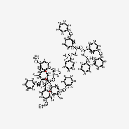 CCOc1ccc([SiH2]C(C)(OC(C)([SiH2]c2ccc(OCC)cc2)c2cc(C)c(C)c(Oc3ccccc3)n2)c2cc(C)c(C)c(Oc3ccccc3)n2)cc1.c1ccc(Oc2cccc(C(C[SiH2]c3ccccc3)OC(C[SiH2]c3ccccc3)c3cccc(Oc4ccccc4)n3)n2)cc1